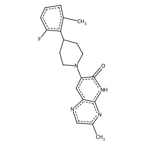 Cc1cnc2cc(N3CCC(c4c(C)cccc4F)CC3)c(=O)[nH]c2n1